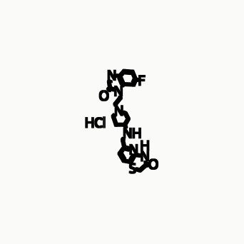 Cl.O=C1CSc2ccc(CNC3CCN(CCn4c(=O)cnc5ccc(F)cc54)CC3)nc2N1